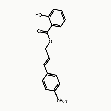 CCCCCc1ccc(C=CCOC(=O)c2ccccc2O)cc1